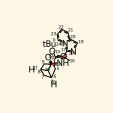 CC(C)(C)OC(=O)N1C[C@H]2C[C@@H](C1)C2C(=O)NC(C)(C)c1ncc2ccccn12